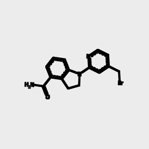 NC(=O)c1cccc2c1CCN2c1cc(CBr)ccn1